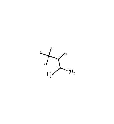 CC(C(P)P)C(C)(C)C